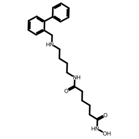 O=C(CCCCC(=O)NCCCCNCc1ccccc1-c1ccccc1)NO